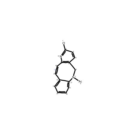 CC(=O)N1Cc2ccc(Cl)nc2/C=C\c2ccccc21